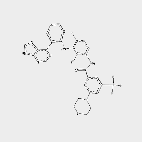 O=C(Nc1ccc(F)c(Nc2ncccc2-c2ncnc3[nH]cnc23)c1F)c1cc(N2CCSCC2)cc(C(F)(F)F)c1